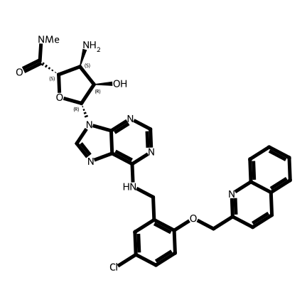 CNC(=O)[C@H]1O[C@@H](n2cnc3c(NCc4cc(Cl)ccc4OCc4ccc5ccccc5n4)ncnc32)[C@H](O)[C@@H]1N